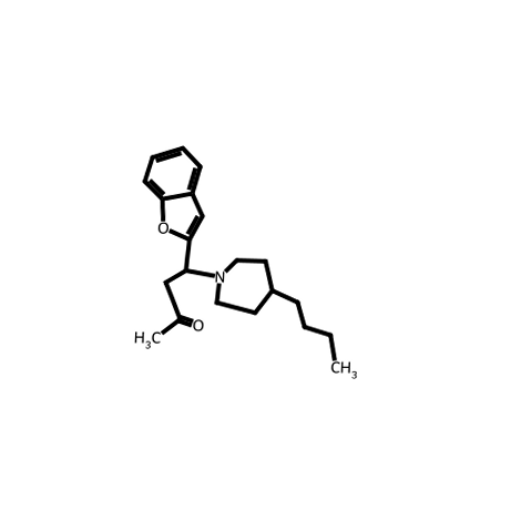 CCCCC1CCN(C(CC(C)=O)c2cc3ccccc3o2)CC1